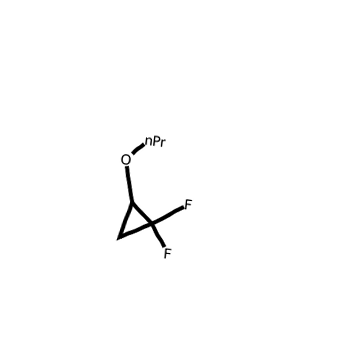 CCCOC1CC1(F)F